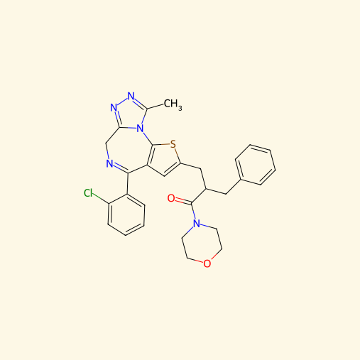 Cc1nnc2n1-c1sc(CC(Cc3ccccc3)C(=O)N3CCOCC3)cc1C(c1ccccc1Cl)=NC2